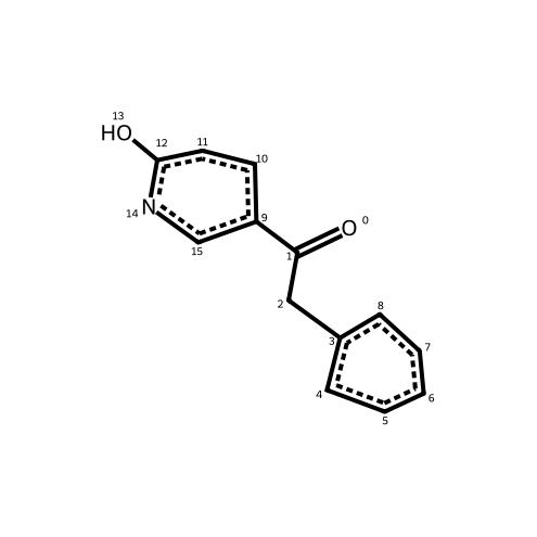 O=C(Cc1ccccc1)c1ccc(O)nc1